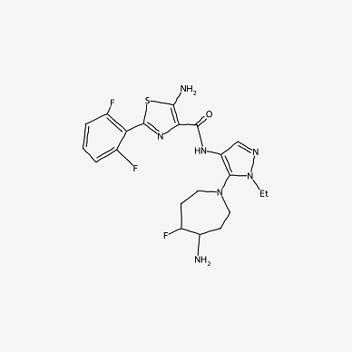 CCn1ncc(NC(=O)c2nc(-c3c(F)cccc3F)sc2N)c1N1CCC(N)C(F)CC1